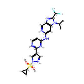 CC(C)n1c(C(F)F)nc2cnc(Nc3ccnc(-c4cnn(S(=O)(=O)C5CC5)c4)n3)cc21